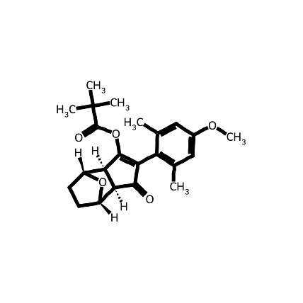 COc1cc(C)c(C2=C(OC(=O)C(C)(C)C)[C@H]3[C@@H](C2=O)[C@@H]2CC[C@H]3O2)c(C)c1